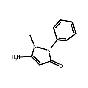 Cn1c(N)cc(=O)n1-c1ccccc1